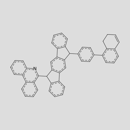 C1=Cc2cccc(-c3ccc(C4c5ccccc5-c5cc6c(cc54)-c4ccccc4C6c4nc5ccccc5c5ccccc45)cc3)c2CC1